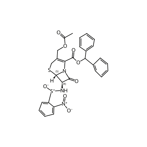 CC(=O)OCC1=C(C(=O)OC(c2ccccc2)c2ccccc2)N2C(=O)[C@@H](N[S+]([O-])c3ccccc3[N+](=O)[O-])[C@@H]2SC1